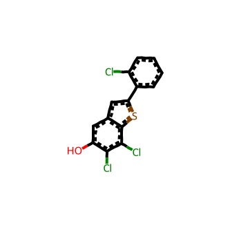 Oc1cc2cc(-c3ccccc3Cl)sc2c(Cl)c1Cl